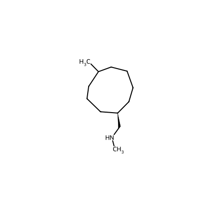 CNC[C@@H]1CCCCC(C)CCC1